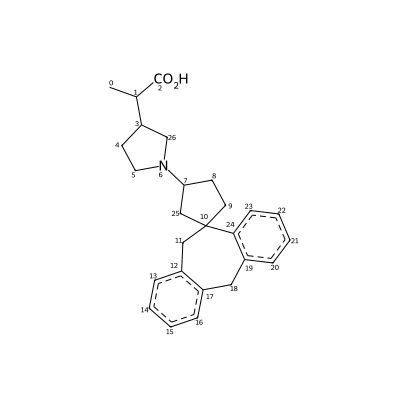 CC(C(=O)O)C1CCN(C2CCC3(Cc4ccccc4Cc4ccccc43)C2)C1